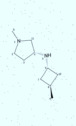 CN1CC[C@@H](N[C@H]2C[C@H](C)C2)C1